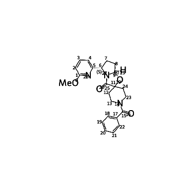 COc1cccc([C@@H]2CC[C@H]3OC4(CCN(C(=O)c5ccccc5)CC4)C(=O)N32)n1